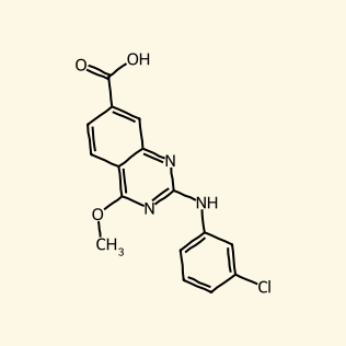 COc1nc(Nc2cccc(Cl)c2)nc2cc(C(=O)O)ccc12